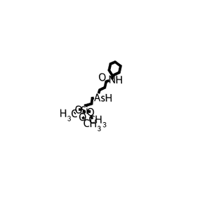 CO[Si](CCC[AsH]CCC(=O)NC1CCCCC1)(OC)OC